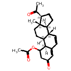 CC(=O)OC1CC(=O)C=C2C=C[C@@H]3[C@H](CC[C@]4(C)[C@@H](C(C)=O)CC[C@@H]34)[C@@H]21